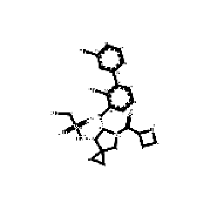 O=C(C1CCO1)N1CC2(CC2)[C@H](NS(=O)(=O)CF)[C@@H]1Cc1cccc(-c2cccc(F)c2)c1F